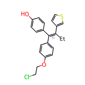 CC/C(=C(/c1ccc(O)cc1)c1ccc(OCCCl)cc1)c1ccsc1